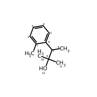 Cc1ccccc1C(C)C(C)(C)O